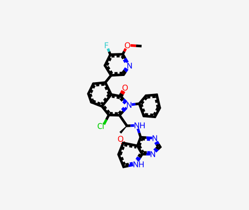 COc1ncc(-c2cccc3c(Cl)c([C@H](C)Nc4ncnc5[nH]ccc(=O)c45)n(-c4ccccc4)c(=O)c23)cc1F